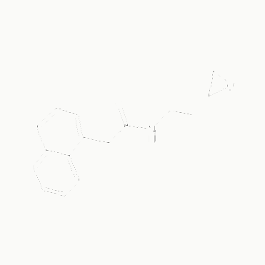 O=C(Cc1cccc2ccccc12)NCC[C@@H]1CO1